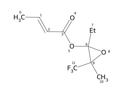 CC=CC(=O)OC1(CC)OC1(C)C(F)(F)F